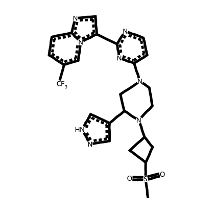 CS(=O)(=O)C1CC(N2CCN(c3ccnc(-c4cnc5ccc(C(F)(F)F)cn45)n3)CC2c2cn[nH]c2)C1